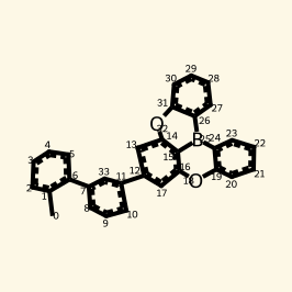 Cc1ccccc1-c1cccc(-c2cc3c4c(c2)Oc2ccccc2B4c2ccccc2O3)c1